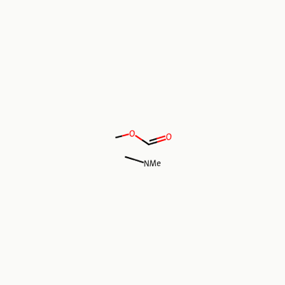 CNC.COC=O